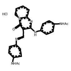 CC(=O)Nc1ccc(N=Cc2c(Nc3ccc(NC(C)=O)cc3)nc3ccccn3c2=O)cc1.Cl